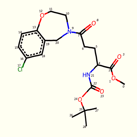 COC(=O)C(CCC(=O)N1CCOc2ccc(Cl)cc2C1)NC(=O)OC(C)(C)C